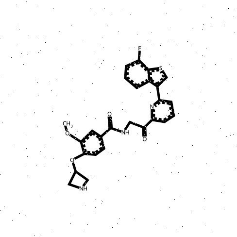 COc1cc(C(=O)NCC(=O)c2cccc(-c3csc4c(F)cccc34)n2)ccc1OC1CNC1